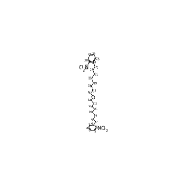 O=[N+]([O-])c1ccccc1CCCCCCCCOCCCCCCCCc1ccccc1[N+](=O)[O-]